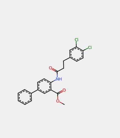 COC(=O)c1cc(-c2ccccc2)ccc1NC(=O)CCc1ccc(Cl)c(Cl)c1